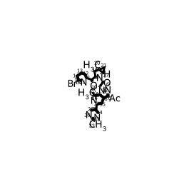 CC(=O)c1nn(CC(=O)N2C(C(=O)c3cccc(Br)n3)C[C@@]3(C)C[C@@H]23)c2c(C)nc(-c3cnc(C)nc3)cc12